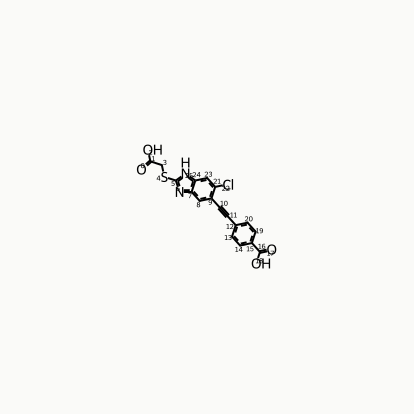 O=C(O)CSc1nc2cc(C#Cc3ccc(C(=O)O)cc3)c(Cl)cc2[nH]1